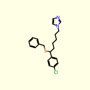 Clc1ccc(C(CCCCCn2ccnc2)SCc2ccccc2)cc1